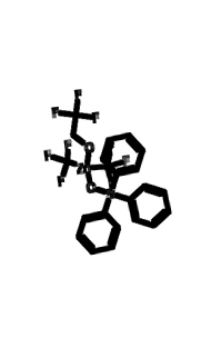 FC(F)(F)C[O][Zn]([O][Si](c1ccccc1)(c1ccccc1)c1ccccc1)([C](F)(F)F)[C](F)(F)F